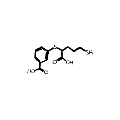 O=C(O)c1cccc(SC(CCCS)C(=O)O)c1